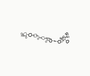 O=C1CCC(c2ccc(N3CCN(CC(=O)N4CCC(NC(=O)c5ccc(C#Cc6ccc7c(c6)S(=O)(=O)N(C(C(=O)Nc6nccs6)c6ccccc6)C7)cn5)CC4)CC3)cc2)C(=O)N1